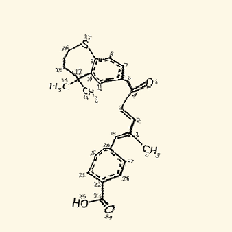 CC(C=CC(=O)c1ccc2c(c1)C(C)(C)CCS2)=Cc1ccc(C(=O)O)cc1